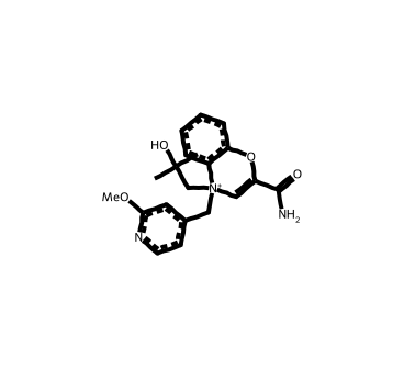 COc1cc(C[N+]2(CC(C)(C)O)C=C(C(N)=O)Oc3ccccc32)ccn1